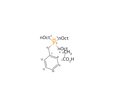 CC(=O)O.CCCCCCCC[PH](CCCCCCCC)(CCCCCCCC)Cc1ccccc1